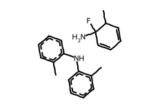 CC1C=CC=CC1(N)F.Cc1ccccc1Nc1ccccc1C